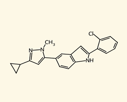 Cn1nc(C2CC2)cc1-c1ccc2[nH]c(-c3ccccc3Cl)cc2c1